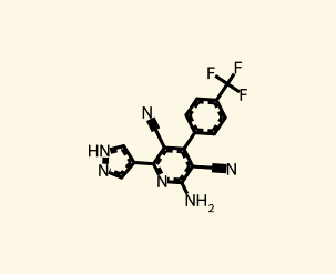 N#Cc1c(N)nc(-c2cn[nH]c2)c(C#N)c1-c1ccc(C(F)(F)F)cc1